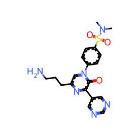 CN(C)S(=O)(=O)c1ccc(-n2cc(CCCN)nc(-c3cncnc3)c2=O)cc1